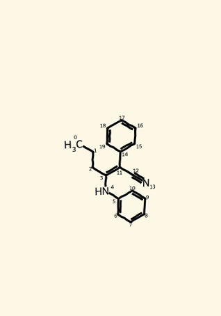 CCCC(Nc1ccccc1)=C(C#N)c1ccccc1